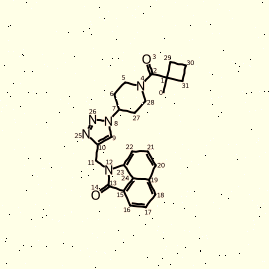 CC1(C(=O)N2CCC(n3cc(CN4C(=O)c5cccc6cccc4c56)nn3)CC2)CCC1